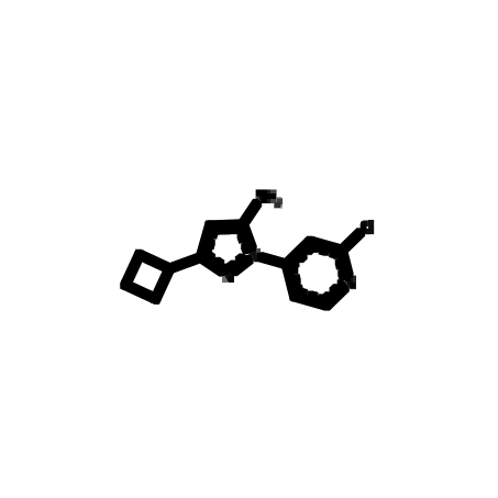 Nc1cc(C2CCC2)nn1-c1ccnc(Cl)c1